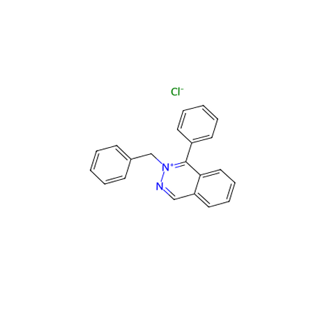 [Cl-].c1ccc(C[n+]2ncc3ccccc3c2-c2ccccc2)cc1